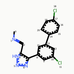 C/N=C/c1[nH]nnc1-c1cc(Cl)cc(-c2ccc(Cl)cc2)c1